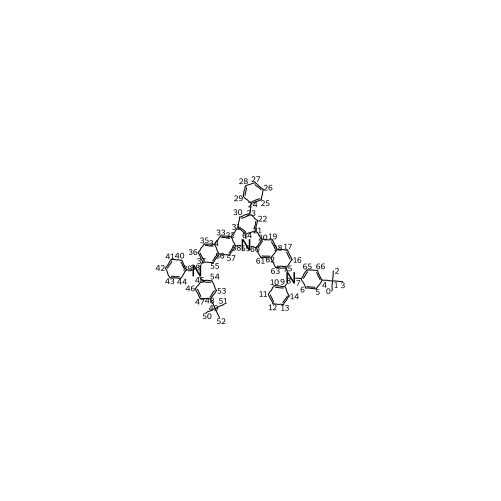 CC(C)(C)c1ccc(N(c2ccccc2)c2ccc3cc4c5cc(-c6ccccc6)cc6c7cc8ccc(N(c9ccccc9)c9ccc(C(C)(C)C)cc9)cc8cc7n(c4cc3c2)c56)cc1